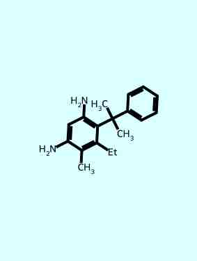 CCc1c(C)c(N)cc(N)c1C(C)(C)c1ccccc1